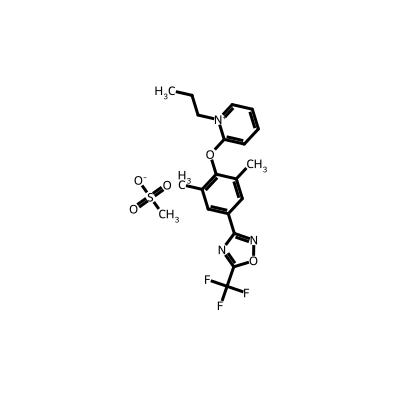 CCC[n+]1ccccc1Oc1c(C)cc(-c2noc(C(F)(F)F)n2)cc1C.CS(=O)(=O)[O-]